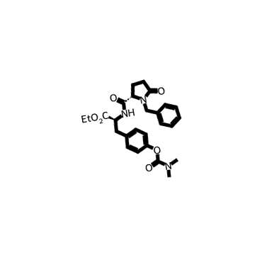 CCOC(=O)[C@H](Cc1ccc(OC(=O)N(C)C)cc1)NC(=O)[C@@H]1CCC(=O)N1Cc1ccccc1